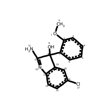 COc1ccccc1C1(O)C(N)=Nc2ccc(Cl)cc21